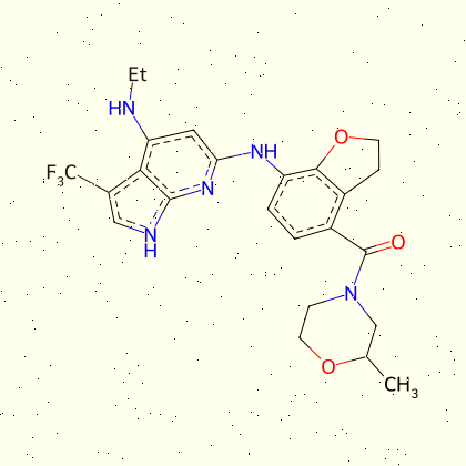 CCNc1cc(Nc2ccc(C(=O)N3CCOC(C)C3)c3c2OCC3)nc2[nH]cc(C(F)(F)F)c12